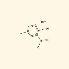 Cc1ccc(S)c([N+](=O)[O-])c1.[Zn+2]